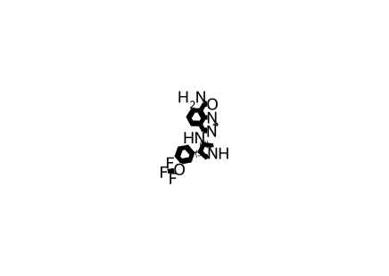 NC(=O)c1cccc2c(N[C@H]3CNC[C@@H]3c3cccc(OC(F)(F)F)c3)ncnc12